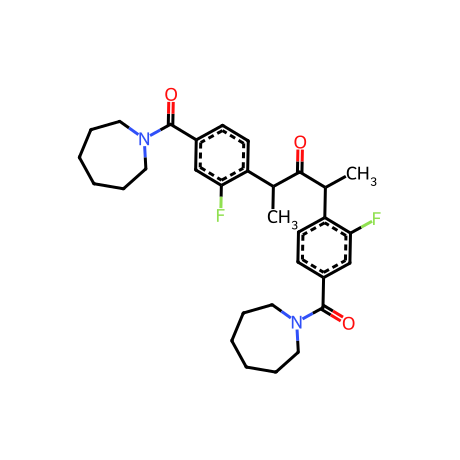 CC(C(=O)C(C)c1ccc(C(=O)N2CCCCCC2)cc1F)c1ccc(C(=O)N2CCCCCC2)cc1F